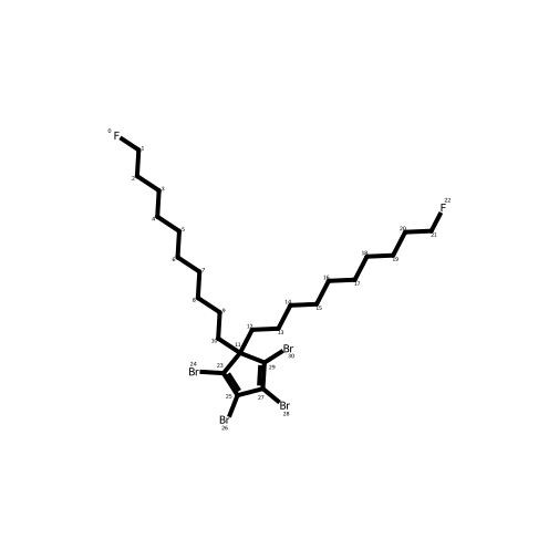 FCCCCCCCCCCC1(CCCCCCCCCCF)C(Br)=C(Br)C(Br)=C1Br